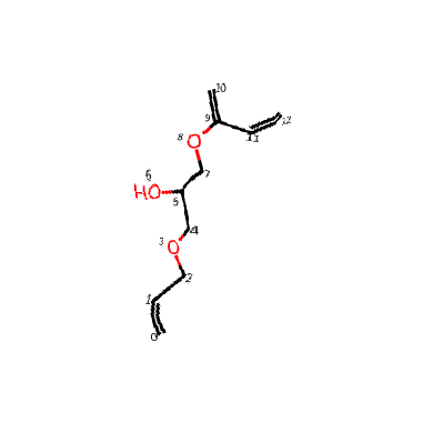 C=CCOCC(O)COC(=C)C=C